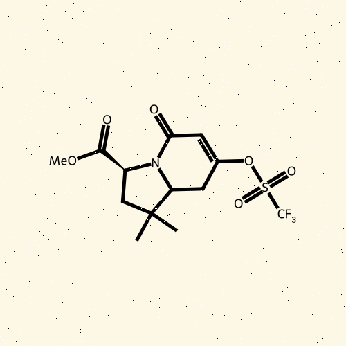 COC(=O)[C@@H]1CC(C)(C)C2CC(OS(=O)(=O)C(F)(F)F)=CC(=O)N21